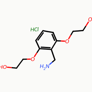 Cl.NCc1c(OCCO)cccc1OCCO